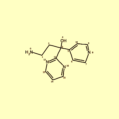 NCCC(O)(c1ccncc1)c1ncccn1